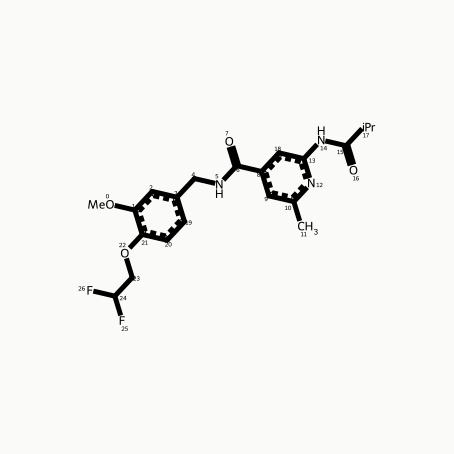 COc1cc(CNC(=O)c2cc(C)nc(NC(=O)C(C)C)c2)ccc1OCC(F)F